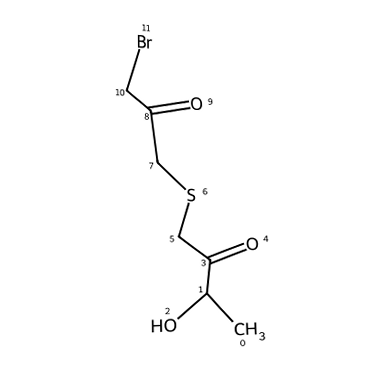 CC(O)C(=O)CSCC(=O)CBr